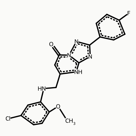 COc1ccc(Cl)cc1NCc1cc(=O)n2nc(-c3ccc(F)cc3)nc2[nH]1